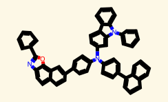 c1ccc(-c2nc3ccc4ccc(-c5ccc(N(c6ccc(-c7cccc8ccccc78)cc6)c6ccc7c8ccccc8n(-c8ccccc8)c7c6)cc5)cc4c3o2)cc1